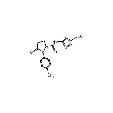 Cc1ccc(N2C(=O)CC[C@H]2C(=O)Nc2cc(C(C)(C)C)on2)cc1